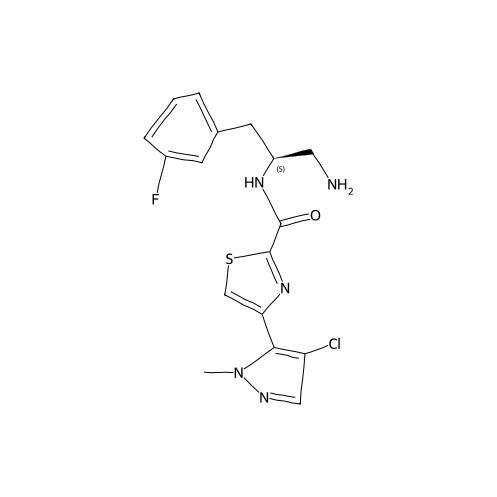 Cn1ncc(Cl)c1-c1csc(C(=O)N[C@H](CN)Cc2cccc(F)c2)n1